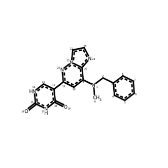 CN(Cc1ccccc1)c1cc(-c2c[nH]c(=O)[nH]c2=O)nn2ccnc12